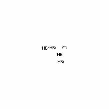 Br.Br.Br.Br.[P+]